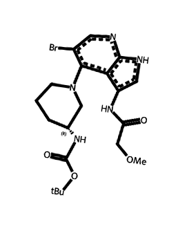 COCC(=O)Nc1c[nH]c2ncc(Br)c(N3CCC[C@@H](NC(=O)OC(C)(C)C)C3)c12